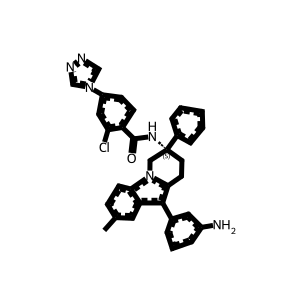 Cc1ccc2c(c1)c(-c1cccc(N)c1)c1n2C[C@@](NC(=O)c2ccc(-n3cnnc3)cc2Cl)(c2ccccc2)CC1